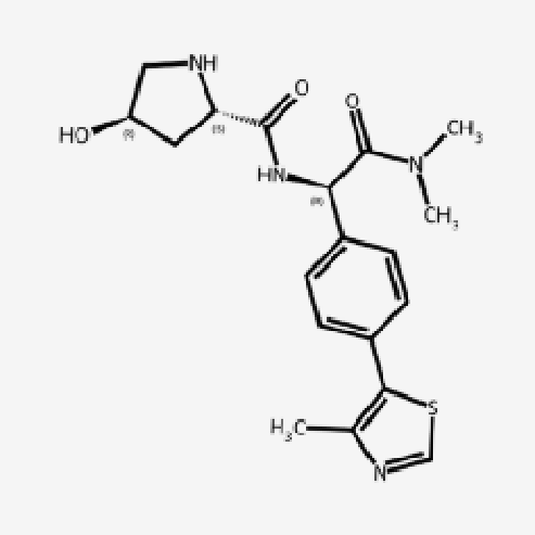 Cc1ncsc1-c1ccc([C@@H](NC(=O)[C@@H]2C[C@@H](O)CN2)C(=O)N(C)C)cc1